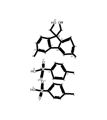 Cc1ccc(S(=O)(=O)O)cc1.Cc1ccc(S(=O)(=O)O)cc1.Cc1ccc2c(c1)-c1cc(C)ccc1C2(CO)CO